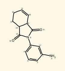 Nc1cccc(N2C(=O)C3C=CCCC3C2=O)c1